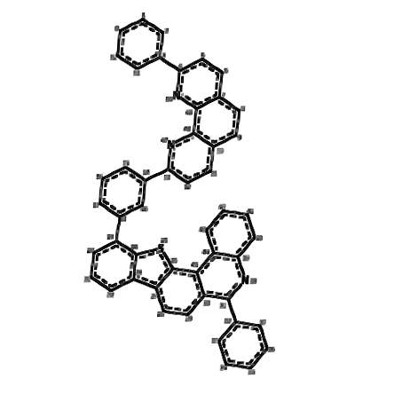 c1ccc(-c2ccc3ccc4ccc(-c5cccc(-c6cccc7c6sc6c7ccc7c(-c8ccccc8)nc8ccccc8c76)c5)nc4c3n2)cc1